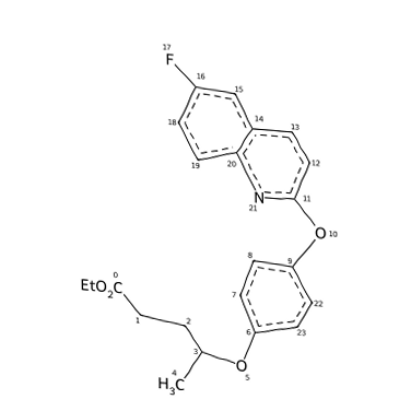 CCOC(=O)CCC(C)Oc1ccc(Oc2ccc3cc(F)ccc3n2)cc1